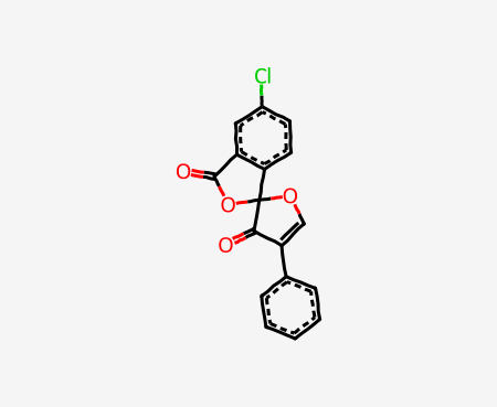 O=C1OC2(OC=C(c3ccccc3)C2=O)c2ccc(Cl)cc21